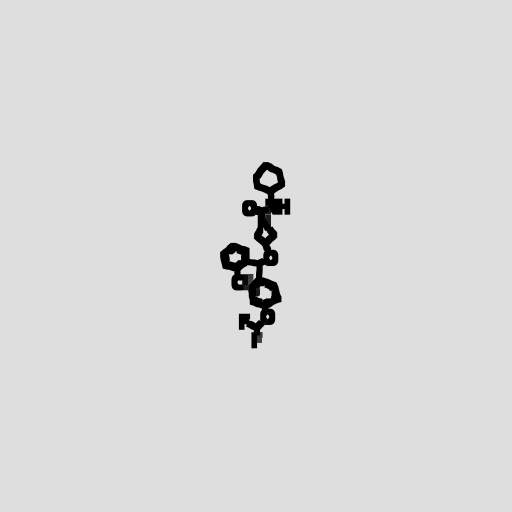 O=C(NC1CCCCC1)N1CC(OC(c2ccc(OC(F)F)cc2)c2ccccc2C(F)(F)F)C1